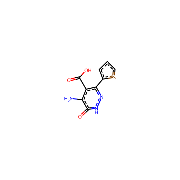 Nc1c(C(=O)O)c(-c2cccs2)n[nH]c1=O